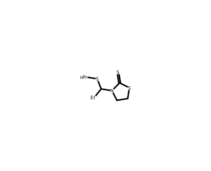 CCCSC(CC)N1CCSC1=S